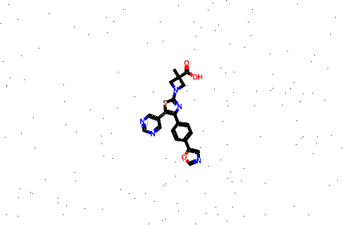 CC1(C(=O)O)CN(c2nc(-c3ccc(-c4cnco4)cc3)c(-c3cncnc3)s2)C1